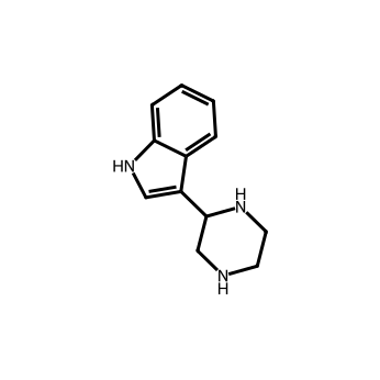 c1ccc2c(C3CNCCN3)c[nH]c2c1